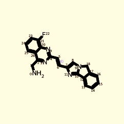 NCc1nc(/C=C/c2cn3c(n2)-c2ccccc2C3)nc2c(F)cccc12